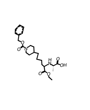 CCOC(=O)C(CCCCC1CCN(C(=O)OCc2ccccc2)CC1)N[C@@H](C)C(=O)O